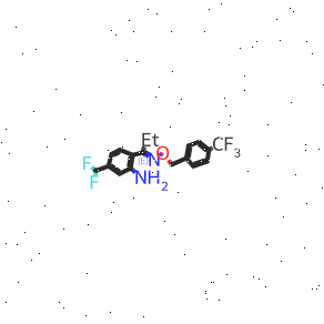 CC/C(=N\OCc1ccc(C(F)(F)F)cc1)c1ccc(C(F)F)cc1N